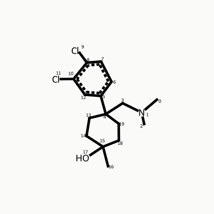 CN(C)CC1(c2ccc(Cl)c(Cl)c2)CCC(C)(O)CC1